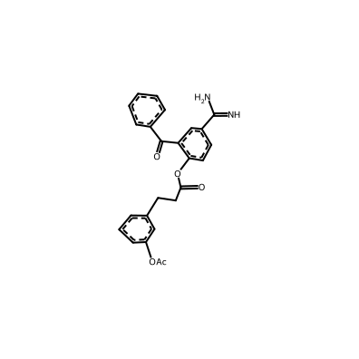 CC(=O)Oc1cccc(CCC(=O)Oc2ccc(C(=N)N)cc2C(=O)c2ccccc2)c1